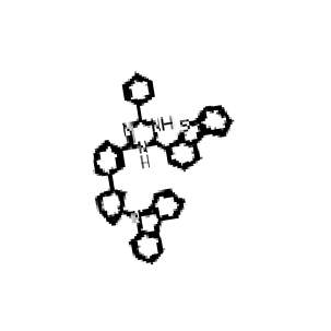 c1ccc(C2N=C(c3cccc(-c4cccc(-n5c6ccccc6c6ccccc65)c4)c3)NC(c3cccc4c3sc3ccccc34)N2)cc1